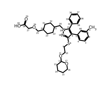 Cc1cccc(-c2c(SCCOC3CCCCO3)nn(CC3CCC(COCC(=O)O)CC3)c2-c2ccccc2)c1